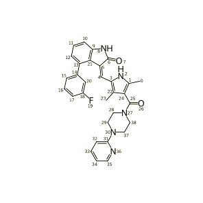 Cc1[nH]c(/C=C2\C(=O)Nc3cccc(-c4cccc(F)c4)c32)c(C)c1C(=O)N1CCN(c2ccccn2)CC1